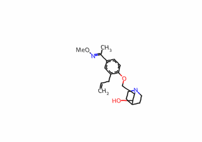 C=CCc1cc(C(C)=NOC)ccc1OCC1C(O)C2CCN1CC2